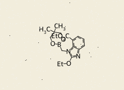 CCOC(=O)c1cccc2nc(OCC)n(CB3OCC(C)(C)CO3)c12